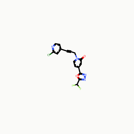 O=c1cc(-c2nnc(C(F)F)o2)ccn1CC#Cc1ccnc(Cl)c1